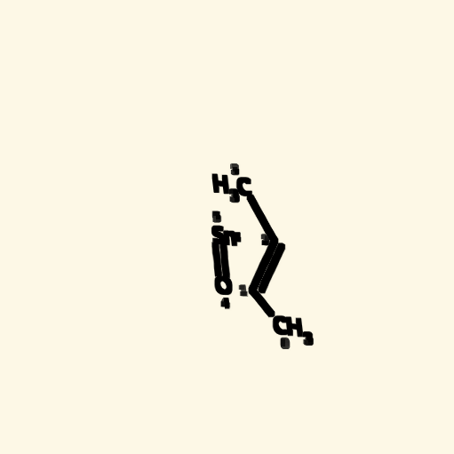 CC=CC.[O]=[Sn]